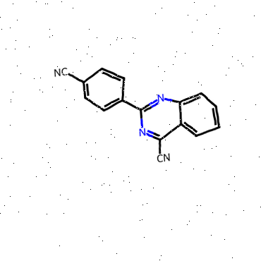 N#Cc1ccc(-c2nc(C#N)c3ccccc3n2)cc1